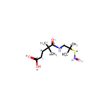 CC(C)(CNC(=O)C(C)(C)CCC(=O)O)SN=O